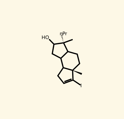 CCC[C@@]1(C)C(O)CC2C1CC[C@]1(C)C(I)=CCC21